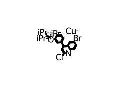 CC(C)[Si](Oc1cccc(-c2cc(Cl)nc3ccc(Br)cc23)c1)(C(C)C)C(C)C.[Cu]